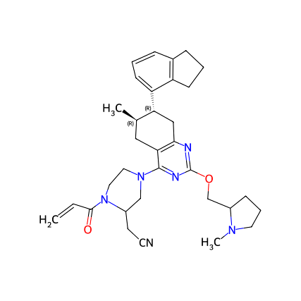 C=CC(=O)N1CCN(c2nc(OCC3CCCN3C)nc3c2C[C@@H](C)[C@H](c2cccc4c2CCC4)C3)CC1CC#N